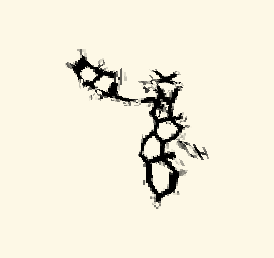 CC1(C)O[C@H]2CC3C4CCC5=CC(=O)C=CC5(C)C4[C@@H](O)CC3(C)[C@]2(C(=O)CSc2nc3cccnc3s2)O1